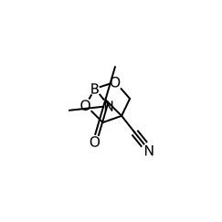 CN1B2OCC(C#N)(CO2)C1=O